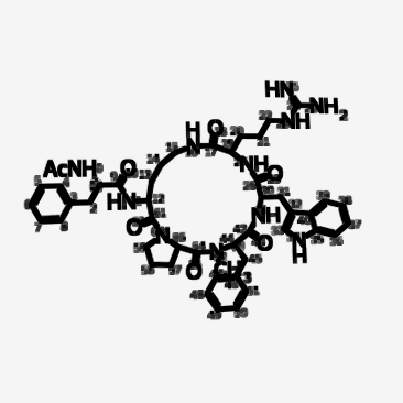 CC(=O)N[C@@H](Cc1ccccc1)C(=O)NC1CCCNC(=O)C(CCCNC(=N)N)NC(=O)C(Cc2c[nH]c3ccccc23)NC(=O)[C@@H](Cc2ccccc2)N(C)C(=O)C2CCCN2C1=O